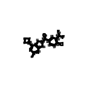 Cc1nc2c(c(N3CCC3)n1)CN(C(=O)c1ccc(Cl)c(C(F)F)c1)C2